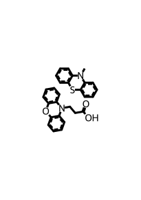 CN1c2ccccc2Sc2ccccc21.O=C(O)CCN1c2ccccc2Oc2ccccc21